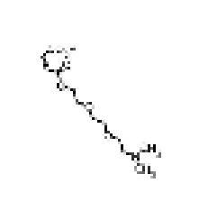 CN(C)CCOCCOCCOC(=O)/C=C\C(=O)O